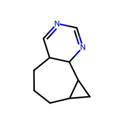 C1=NC=NC2C1CCCC1CC12